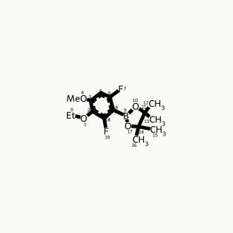 CCOc1c(OC)cc(F)c(B2OC(C)(C)C(C)(C)O2)c1F